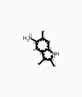 Cc1cc2[nH]c(C)c(C)c2cc1N